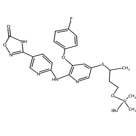 CC(CCO[Si](C)(C)C(C)(C)C)Sc1cnc(Nc2ccc(-c3noc(=O)[nH]3)cn2)c(Oc2ccc(F)cc2)c1